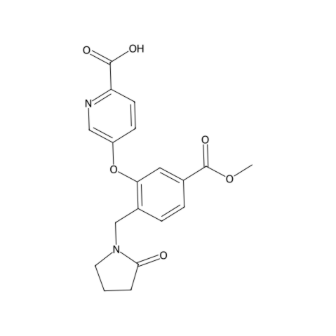 COC(=O)c1ccc(CN2CCCC2=O)c(Oc2ccc(C(=O)O)nc2)c1